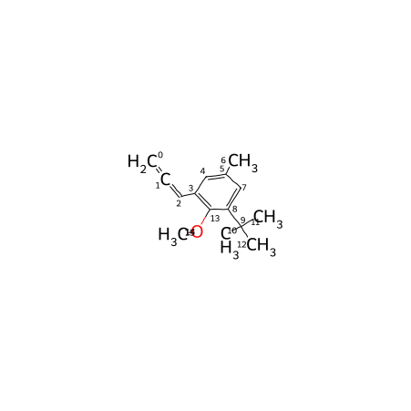 C=C=Cc1cc(C)cc(C(C)(C)C)c1OC